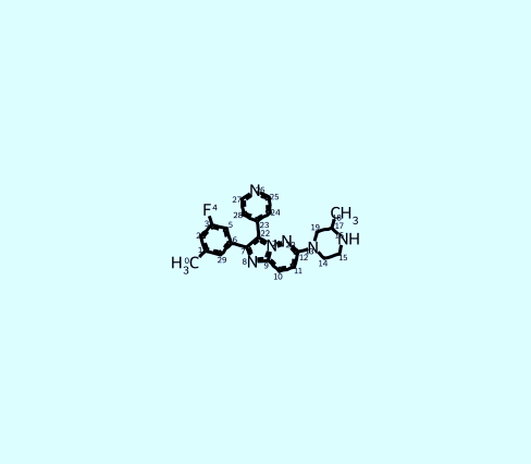 Cc1cc(F)cc(-c2nc3ccc(N4CCNC(C)C4)nn3c2-c2ccncc2)c1